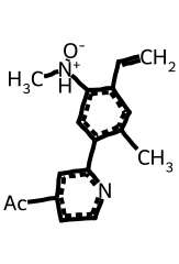 C=Cc1cc(C)c(-c2cc(C(C)=O)ccn2)cc1[NH+](C)[O-]